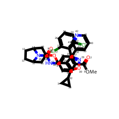 COC(=O)c1ccc(NC(=O)N2C3CCC2CC(OCc2c(-c4c(Cl)cccc4Cl)noc2C2CC2)C3)cc1-c1cccnc1